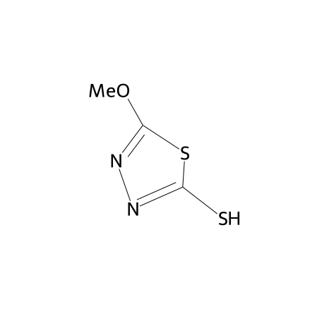 COc1nnc(S)s1